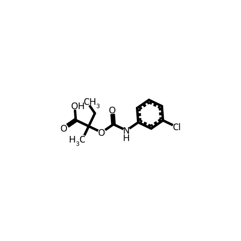 CCC(C)(OC(=O)Nc1cccc(Cl)c1)C(=O)O